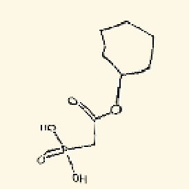 O=C(CP(=O)(O)O)OC1CCCCC1